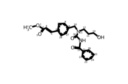 COC(=O)C=Cc1ccc(CN(CCCO)C(=O)NC(=O)c2ccccc2)cc1